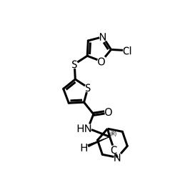 O=C(N[C@H]1CN2CCC1CC2)c1ccc(Sc2cnc(Cl)o2)s1